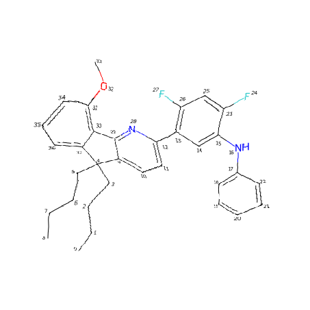 CCCCC1(CCCC)c2ccc(-c3cc(Nc4ccccc4)c(F)cc3F)nc2-c2c(OC)cccc21